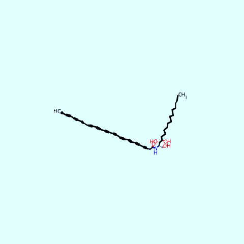 C#CC#CC#CC#CC#CC#CC#CC#CC#CC#CC#CC#CCC(=O)N[C@@H](CO)[C@H](O)[C@H](O)CCCCCCCCCCCCCC